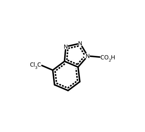 O=C(O)n1nnc2c(C(Cl)(Cl)Cl)cccc21